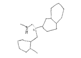 CBC[C@@H](CC1CCCCC1C)C1CCC2CCCCC2C1